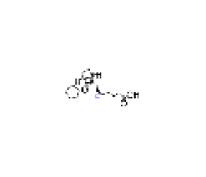 O=C(O)CCC/C=C\C[C@@H]1[C@H](OC2CCCCC2)[C@@H]2CC[C@H]1O2